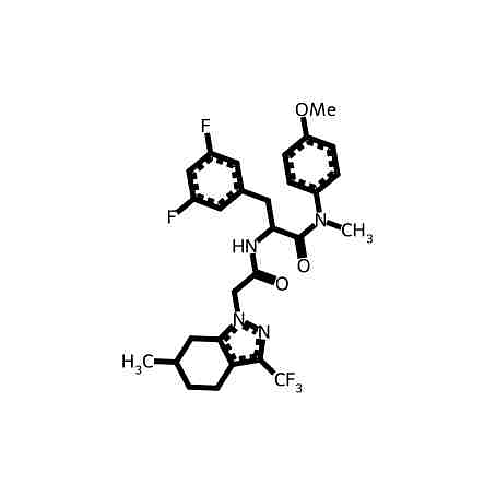 COc1ccc(N(C)C(=O)C(Cc2cc(F)cc(F)c2)NC(=O)Cn2nc(C(F)(F)F)c3c2CC(C)CC3)cc1